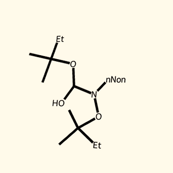 CCCCCCCCCN(OC(C)(C)CC)C(O)OC(C)(C)CC